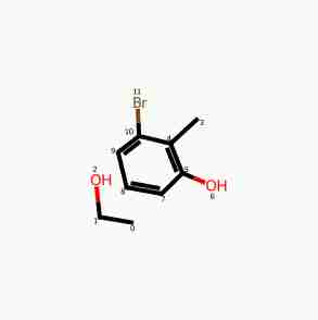 CCO.Cc1c(O)cccc1Br